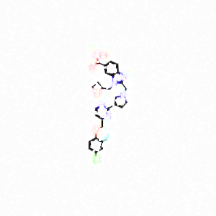 O=C(O)c1ccc2nc(CN3CC=C(c4nccc(COc5ccc(Cl)cc5F)n4)C3)n(CC3CCO3)c2c1